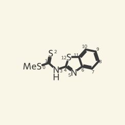 CSC(=S)Nc1nc2ccccc2s1